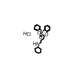 Cl.O=S1(=O)C(CCCNC2CCCCC2)Oc2ccccc2N1c1ccccc1